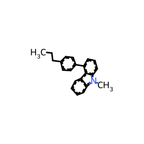 CCCc1ccc(-c2cccc3c2c2ccccc2n3C)cc1